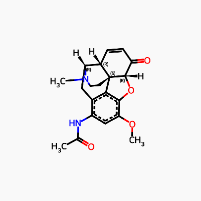 COc1cc(NC(C)=O)c2c3c1O[C@H]1C(=O)C=C[C@H]4[C@@H](C2)N(C)CC[C@]314